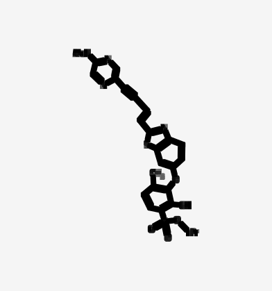 CCCOS(=O)(=O)c1ccc(C)c(Oc2ccc3nc(C=CC#Cc4cnc(NC)cn4)sc3c2)c1O